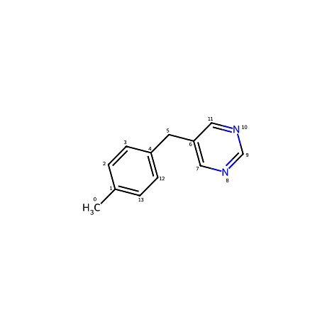 Cc1ccc(Cc2cncnc2)cc1